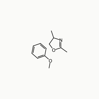 CC1=NC(C)CO1.COc1ccccc1